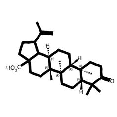 C=C(C)C1CCC2(C(=O)O)CC[C@]3(C)[C@H](CC[C@@H]4[C@@]5(C)CCC(=O)C(C)(C)[C@@H]5CC[C@]43C)C12